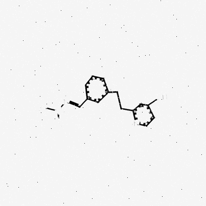 Cc1ccnc(CCc2cccc(C=N[S+]([O-])C(C)(C)C)c2)c1